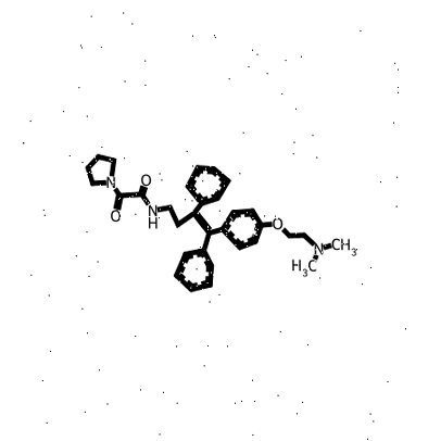 CN(C)CCOc1ccc(/C(=C(/CCNC(=O)C(=O)N2CCCC2)c2ccccc2)c2ccccc2)cc1